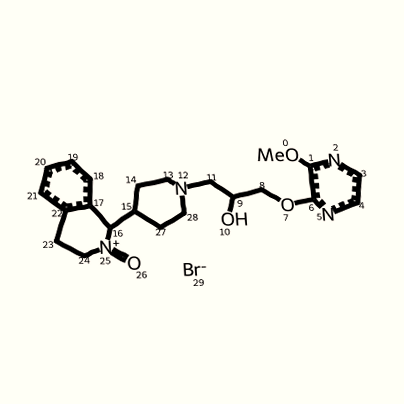 COc1nccnc1OCC(O)CN1CCC(C2c3ccccc3CC[N+]2=O)CC1.[Br-]